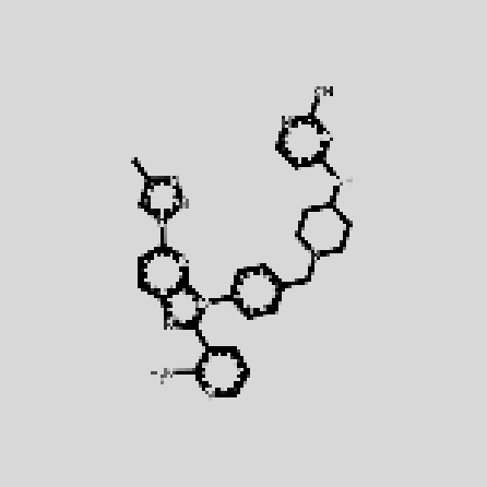 Cc1cn(-c2ccc3nc(-c4cccnc4N)n(-c4ccc(CN5CCC(Nc6ccnc(C#N)n6)CC5)cc4)c3n2)nn1